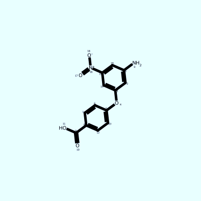 Nc1cc(Oc2ccc(C(=O)O)cc2)cc([N+](=O)[O-])c1